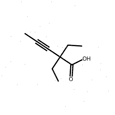 CC#CC(CC)(CC)C(=O)O